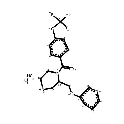 Cl.Cl.O=C(c1ccc(OC(F)(F)F)cc1)N1CCNCC1COc1cccnc1